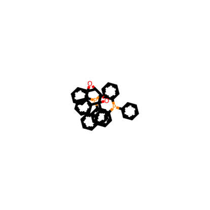 c1ccc(P(c2ccccc2)c2ccc3ccccc3c2C23OC2(P(c2ccccc2)c2ccccc2)C2OC2c2ccccc23)cc1